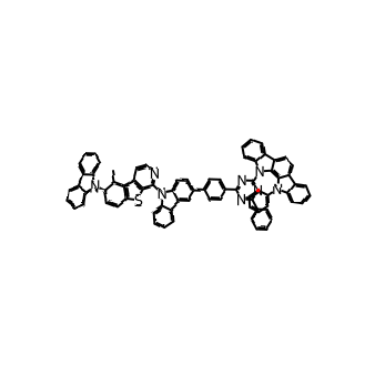 CC1c2c(sc3c(-n4c5ccccc5c5cc(-c6ccc(-c7nc(-c8ccccc8)nc(-n8c9ccccc9c9ccc%10c%11ccccc%11n(-c%11ccccc%11)c%10c98)n7)cc6)ccc54)nccc23)C=C[C@H]1n1c2ccccc2c2ccccc21